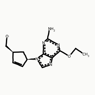 CCOc1nc(N)nc2c1ncn2[C@H]1C=C[C@@H](C[O])C1